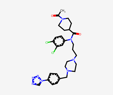 CC(=O)N1CCC(C(=O)N(CCCN2CCN(Cc3ccc(-n4cnnn4)cc3)CC2)c2ccc(Cl)c(Cl)c2)CC1